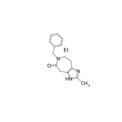 CC[C@@H]1Cc2nc(C)[nH]c2CC(=O)N1Cc1ccccc1